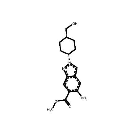 COC(=O)c1cc2nn([C@H]3CC[C@H](CO)CC3)cc2cc1N